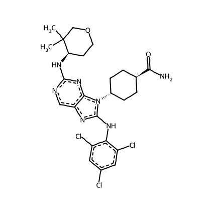 CC1(C)COCC[C@H]1Nc1ncc2nc(Nc3c(Cl)cc(Cl)cc3Cl)n([C@H]3CC[C@H](C(N)=O)CC3)c2n1